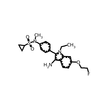 CCn1c(-c2ccc(N(C)S(=O)(=O)C3CC3)cc2)c(N)c2ccc(OCCF)cc21